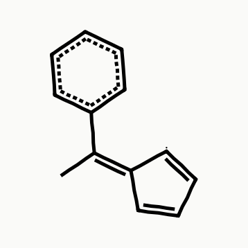 CC(=C1[C]=CC=C1)c1ccccc1